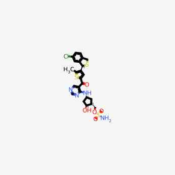 Cc1sc(C(=O)c2cncnc2N[C@@H]2C[C@H](COS(N)(=O)=O)[C@@H](O)C2)cc1[C@@H]1SCc2ccc(Cl)cc21